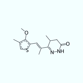 COc1c(C)csc1C=C(C)C1=NNC(=O)CC1C